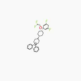 FC1=CC(OCC(F)F)([C@H]2CC[C@H](C3CC[Si](c4ccccc4)(c4ccccc4)CC3)CC2)C=C(F)C1